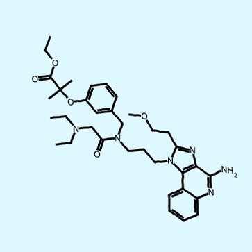 CCOC(=O)C(C)(C)Oc1cccc(CN(CCCn2c(CCOC)nc3c(N)nc4ccccc4c32)C(=O)CN(CC)CC)c1